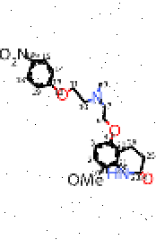 COc1ccc(OCCN(C)CCOc2ccc([N+](=O)[O-])cc2)c2c1NC(=O)CC2